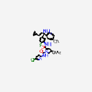 CC(=O)O[C@@H]1C[C@H](C(=O)Nc2cc(C(N)(CCC3CC3)C3=CC=CC(C#N)=CC3)ccc2F)N(C(=O)Nc2ccc(Cl)cn2)C1